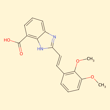 COc1cccc(C=Cc2nc3cccc(C(=O)O)c3[nH]2)c1OC